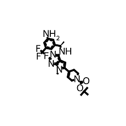 C[C@@H](Nc1ncnc2c1cc(C1=CCN(C(=O)OC(C)(C)C)CC1)n2C)c1cc(N)cc(C(F)(F)F)c1